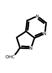 O=CC1=Nc2ncncc2C1